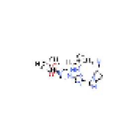 CC(C)(C)CNc1nc(-c2cnc3ccc(C#N)cn23)ncc1N1CCN(C(=O)OC(C)(C)C)CC1